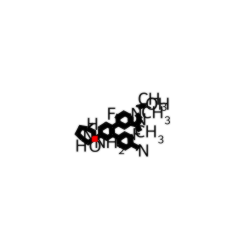 Cc1nn(CC(C)(C)O)c2cc(F)c(-c3ccc(C(=O)N4[C@@H]5CC[C@H]4C[C@@H](N)C5)cc3-c3ccc(C#N)c(F)c3)cc12